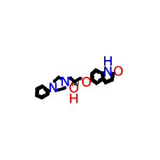 O=c1ccc2cc(OC[C@@H](O)CN3CCN(c4ccccc4)CC3)ccc2[nH]1